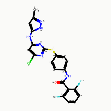 Cc1cc(Nc2cc(Cl)nc(Sc3ccc(NC(=O)c4c(F)cccc4F)cc3)n2)[nH]n1